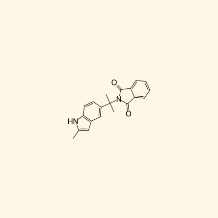 Cc1cc2cc(C(C)(C)N3C(=O)c4ccccc4C3=O)ccc2[nH]1